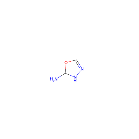 N[C]1NN=CO1